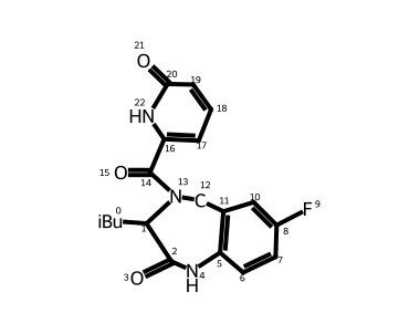 CCC(C)C1C(=O)Nc2ccc(F)cc2CN1C(=O)c1cccc(=O)[nH]1